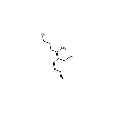 C=C/C=C\C(CO)=C(\N)CCCO